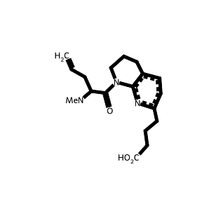 C=CCC(NC)C(=O)N1CCCc2ccc(CCCC(=O)O)nc21